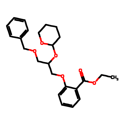 CCOC(=O)c1ccccc1OCC(COCc1ccccc1)OC1CCCCO1